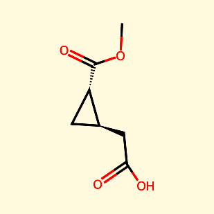 COC(=O)[C@H]1C[C@@H]1CC(=O)O